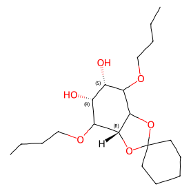 CCCCOC1C2OC3(CCCCC3)O[C@@H]2C(OCCCC)[C@H](O)[C@@H]1O